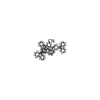 N#Cc1cc(-n2c3ccccc3c3cc(-n4c5ccccc5c5ccccc54)ccc32)c(-n2c3ccccc3c3ccccc32)c(-n2c3ccccc3c3cc(-n4c5ccccc5c5ccccc54)ccc32)c1